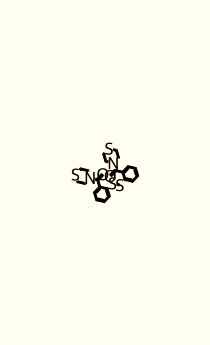 O=C(c1ccccc1SSc1ccccc1C(=O)N1CCSCC1)N1CCSCC1